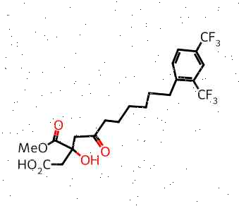 COC(=O)C(O)(CC(=O)O)CC(=O)CCCCCCc1ccc(C(F)(F)F)cc1C(F)(F)F